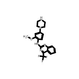 COc1cc(N2CCNCC2)ccc1Nc1nc(C(F)(F)F)c2ccccc2n1